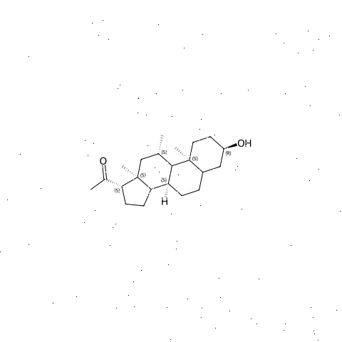 CC(=O)[C@H]1CCC2[C@@H]3CCC4C[C@H](O)CC[C@]4(C)C3[C@@H](C)C[C@@]21C